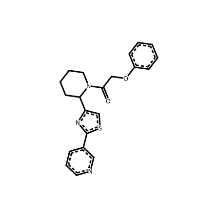 O=C(COc1ccccc1)N1CCCCC1c1csc(-c2cccnc2)n1